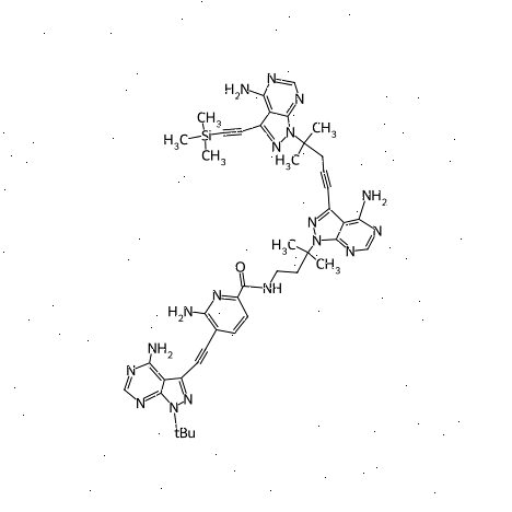 CC(C)(C)n1nc(C#Cc2ccc(C(=O)NCCC(C)(C)n3nc(C#CCC(C)(C)n4nc(C#C[Si](C)(C)C)c5c(N)ncnc54)c4c(N)ncnc43)nc2N)c2c(N)ncnc21